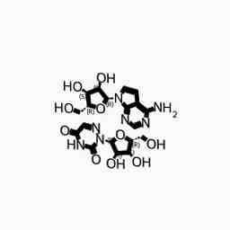 Nc1ncnc2c1ccn2[C@@H]1O[C@H](CO)[C@@H](O)[C@H]1O.O=c1cnn([C@@H]2O[C@H](CO)[C@@H](O)[C@H]2O)c(=O)[nH]1